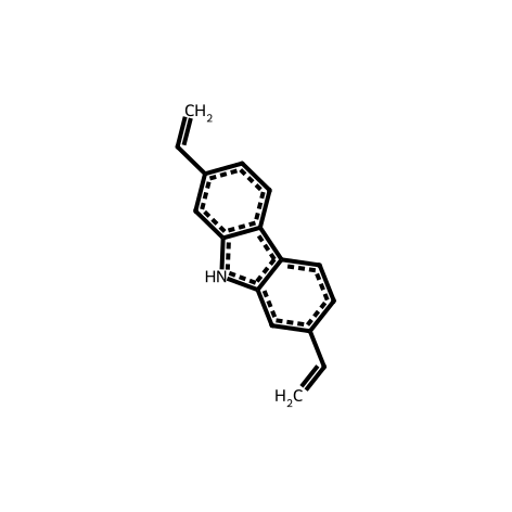 C=Cc1ccc2c(c1)[nH]c1cc(C=C)ccc12